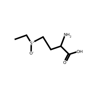 CC[S+]([O-])CCC(N)C(=O)O